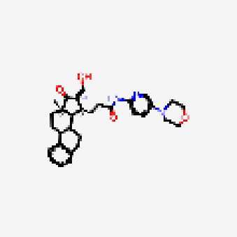 C[C@]12CCC3c4ccccc4CCC3C1[C@H](CCC(=O)Nc1ccc(N3CCOCC3)cn1)/C(=C/O)C2=O